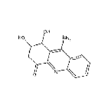 Nc1c2c(nc3ccccc13)C(=O)CC(O)C2O